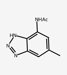 CC(=O)Nc1cc(C)cc2nn[nH]c12